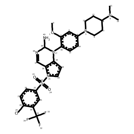 COc1cc(N2CCC(N(C)C)CC2)ccc1N1c2ccn(S(=O)(=O)c3ccc(Cl)c(C(F)(F)F)c3)c2C=NC1N